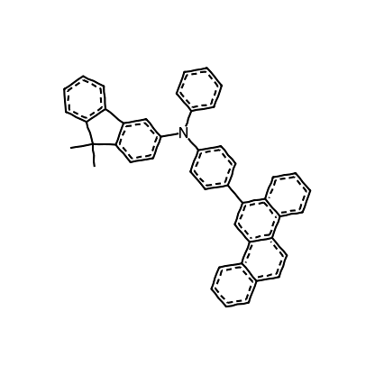 CC1(C)c2ccccc2-c2cc(N(c3ccccc3)c3ccc(-c4cc5c6ccccc6ccc5c5ccccc45)cc3)ccc21